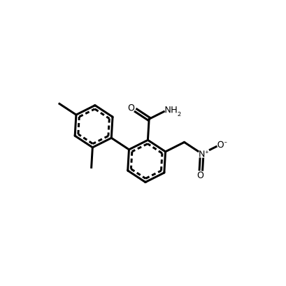 Cc1ccc(-c2cccc(C[N+](=O)[O-])c2C(N)=O)c(C)c1